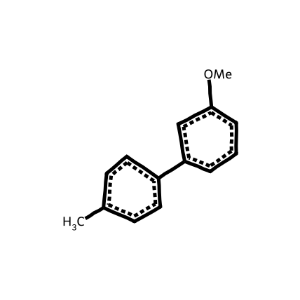 [CH2]Oc1cccc(-c2ccc(C)cc2)c1